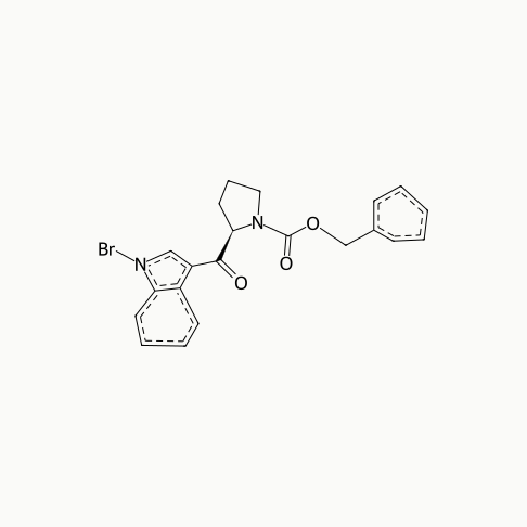 O=C(c1cn(Br)c2ccccc12)[C@H]1CCCN1C(=O)OCc1ccccc1